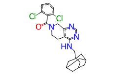 O=C(c1c(Cl)cccc1Cl)N1CCc2c(ncnc2NCC23CC4CC(CC(C4)C2)C3)C1